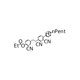 CCCCCC12CCC(c3ccc(CCc4ccc(OC(=O)CC)c(C#N)c4)c(C#N)c3C#N)(CC1)CC2